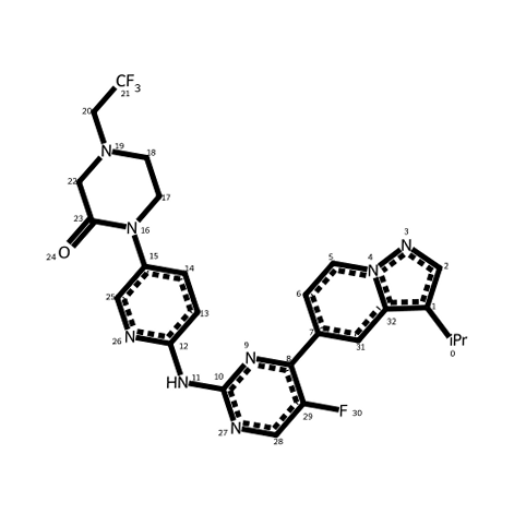 CC(C)c1cnn2ccc(-c3nc(Nc4ccc(N5CCN(CC(F)(F)F)CC5=O)cn4)ncc3F)cc12